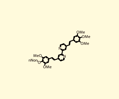 CCCCCCCCCOc1c(OC)cc(/C=C/c2ccnc(-c3cc(/C=C/c4cc(OC)c(OC)c(OC)c4)ccn3)c2)cc1OC